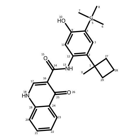 CC1(c2cc([Si](C)(C)C)c(O)cc2NC(=O)c2c[nH]c3ccccc3c2=O)CCC1